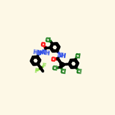 CC(F)(F)c1cccc(NNC(=O)c2cc(NC(=O)C3C(c4cc(Cl)cc(Cl)c4)C3(Cl)Cl)ccc2Cl)c1